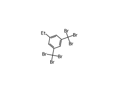 [CH2]Cc1cc(C(Br)(Br)Br)cc(C(Br)(Br)Br)c1